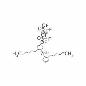 CCCCCCC1=[C]([Zr+2][C]2=C(CCCCCC)C=CC2)CC=C1.O=S(=O)([O-])C(F)(F)F.O=S(=O)([O-])C(F)(F)F